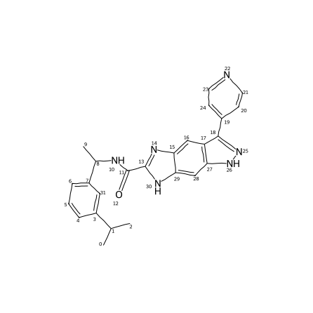 CC(C)c1cccc(C(C)NC(=O)c2nc3cc4c(-c5ccncc5)n[nH]c4cc3[nH]2)c1